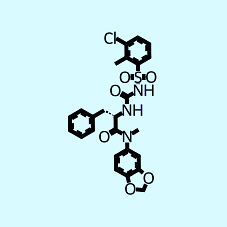 Cc1c(Cl)cccc1S(=O)(=O)NC(=O)N[C@@H](Cc1ccccc1)C(=O)N(C)c1ccc2c(c1)OCO2